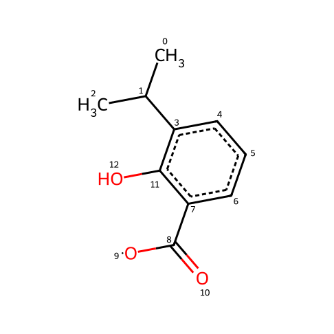 CC(C)c1cccc(C([O])=O)c1O